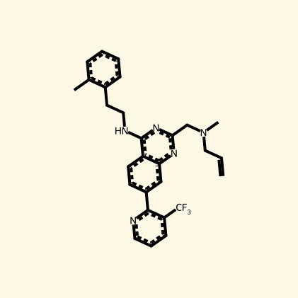 C=CCN(C)Cc1nc(NCCc2ccccc2C)c2ccc(-c3ncccc3C(F)(F)F)cc2n1